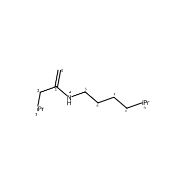 C=C(CC(C)C)NCCCCC(C)C